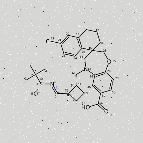 CC(C)(C)[S@@+]([O-])/N=C/[C@@H]1CC[C@H]1CN1CC2(CCCc3cc(Cl)ccc32)COc2ccc(C(=O)O)cc21